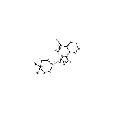 O=C(O)C1CCCCC1c1csc(N2CCC(F)(F)CC2)n1